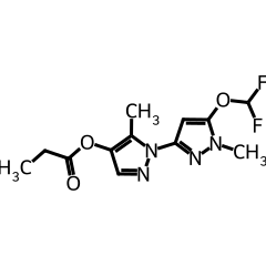 CCC(=O)Oc1cnn(-c2cc(OC(F)F)n(C)n2)c1C